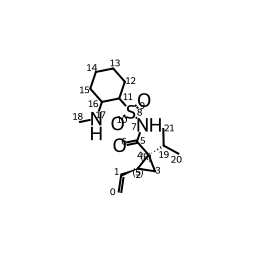 C=C[C@@H]1C[C@@]1(C(=O)NS(=O)(=O)C1CCCCC1NC)C(C)C